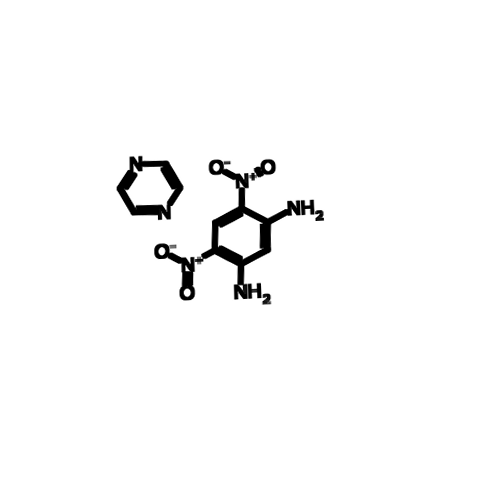 Nc1cc(N)c([N+](=O)[O-])cc1[N+](=O)[O-].c1cnccn1